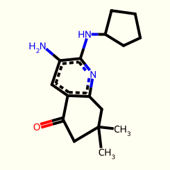 CC1(C)CC(=O)c2cc(N)c(NC3CCCC3)nc2C1